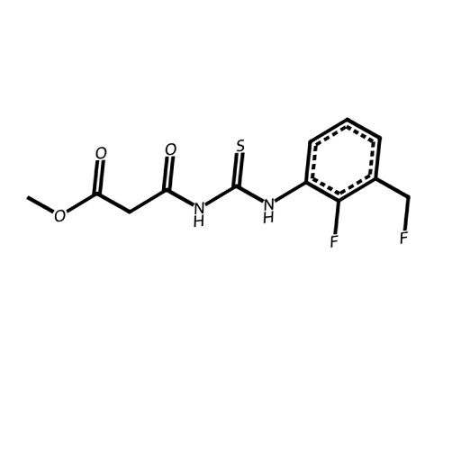 COC(=O)CC(=O)NC(=S)Nc1cccc(CF)c1F